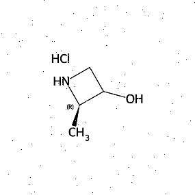 C[C@H]1NCC1O.Cl